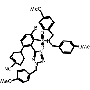 COc1ccc(CN(Cc2ccc(OC)cc2)S(=O)(=O)c2c(Br)ccc(C3CC=C(C#N)CC3)c2-c2nnn(Cc3ccc(OC)cc3)n2)cc1